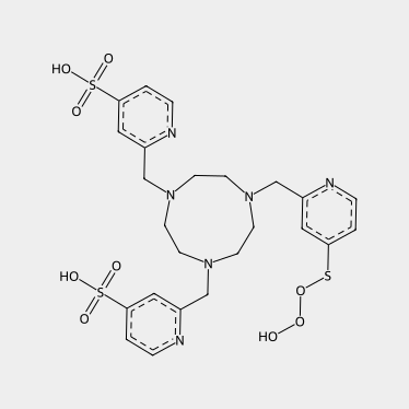 O=S(=O)(O)c1ccnc(CN2CCN(Cc3cc(SOOO)ccn3)CCN(Cc3cc(S(=O)(=O)O)ccn3)CC2)c1